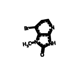 Cn1c(=O)[nH]c2nccc(Br)c21